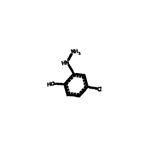 NNc1cc(Cl)ccc1O